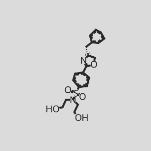 O=S(=O)(c1ccc(C2=N[C@H](Cc3ccccc3)CO2)cc1)N(CCO)CCO